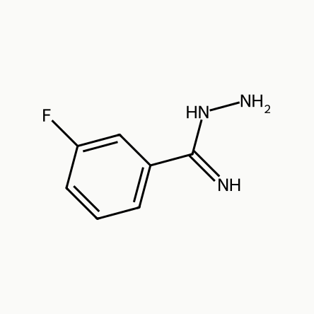 N=C(NN)c1cccc(F)c1